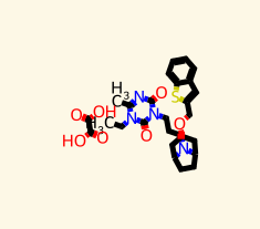 CCn1c(C)nc(=O)n(CCCN2C3CCC2CC(OCc2cc4ccccc4s2)C3)c1=O.O=C(O)C(=O)O